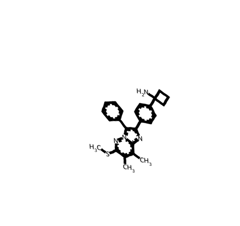 CSc1nn2c(-c3ccccc3)c(-c3ccc(C4(N)CCC4)cc3)nc2c(C)c1C